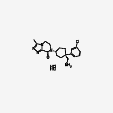 Cc1nnc2n1CCN([C@H]1CC[C@@](CN)(c3cccc(Cl)c3)CC1)C2=O.Cl.Cl